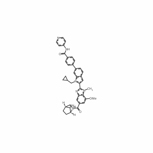 COc1cc(C(=O)N2C[C@H]3CC[C@@H]2[C@@H]3N)cc2nc(-c3cc4ccc(-c5ccc(C(=O)Nc6ccncc6)cc5)cc4n3CC3CC3)n(C)c12